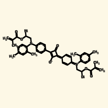 C=C(C)C(=O)OC(CC)CN(c1ccc(C2=C([O-])C(=C3C=CC(=[N+](CC(CC)OC(=O)C(=C)C)c4ccc(C)cc4C)C=C3)C2=O)cc1)c1ccc(C)cc1C